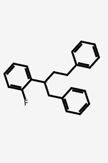 Fc1ccccc1[C](CCc1ccccc1)Cc1ccccc1